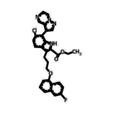 CCOC(=O)c1[nH]c2c(-c3cnn4ccncc34)c(Cl)ccc2c1CCCOc1cccc2cc(F)ccc12